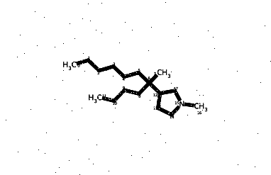 CCCCCCC(C)(CCCC)C1CCN(C)C1